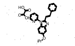 CC(C)Oc1ccc2c(c1)nc(C=Cc1ccccc1)n2-c1ccccn1.O=C(O)C(=O)O